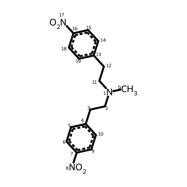 CN(CCc1ccc([N+](=O)[O-])cc1)CCc1ccc([N+](=O)[O-])cc1